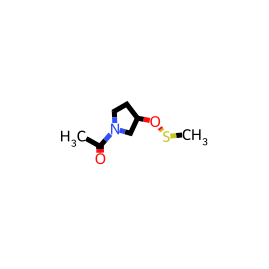 CSOC1CCN(C(C)=O)C1